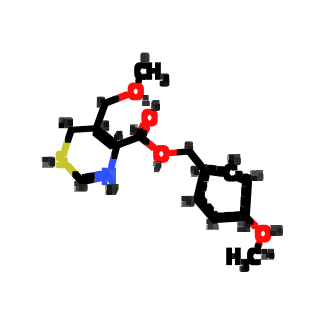 COCC1=C(C(=O)OCc2ccc(OC)cc2)N=CSC1